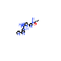 CCCC(=O)Nc1cncc(-c2ccc3[nH]nc(-c4cc5c(-c6ccccn6)cncc5[nH]4)c3n2)c1